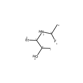 CCC(NC(C)F)C(C)O